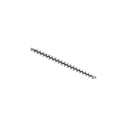 SCCCCCCCCCCCCCCCCCCCCCCCCCCCCCCCCCCCCCCBr